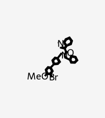 COc1ccc(-c2ccc(CN(Cc3ccccc3)C(=O)c3cn(C)c4ccccc34)cc2)cc1Br